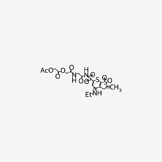 CCN[C@H]1C=C(S(=O)(=O)NC(=O)CNC(=O)COC(=O)COC(C)=O)SC2=C1C[C@H](C)S2(=O)=O